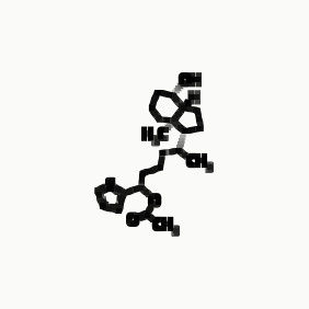 CC(=O)OC(CCCC(C)[C@H]1CC[C@H]2[C@@H](O)CCC[C@]12C)c1cccs1